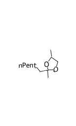 CCCCCCC1(C)OCC(C)O1